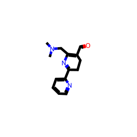 CN(C)CC1=C(C=O)CCC(c2ccccn2)=N1